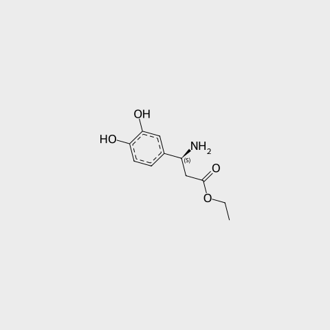 CCOC(=O)C[C@H](N)c1ccc(O)c(O)c1